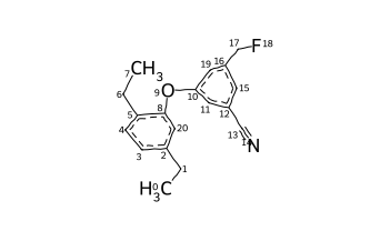 CCc1ccc(CC)c(Oc2cc(C#N)cc(CF)c2)c1